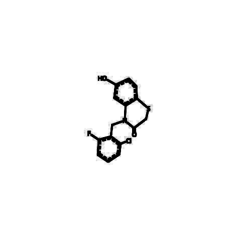 O=C1CSc2ccc(O)cc2N1Cc1c(F)cccc1Cl